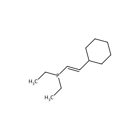 CCP(C=CC1CCCCC1)CC